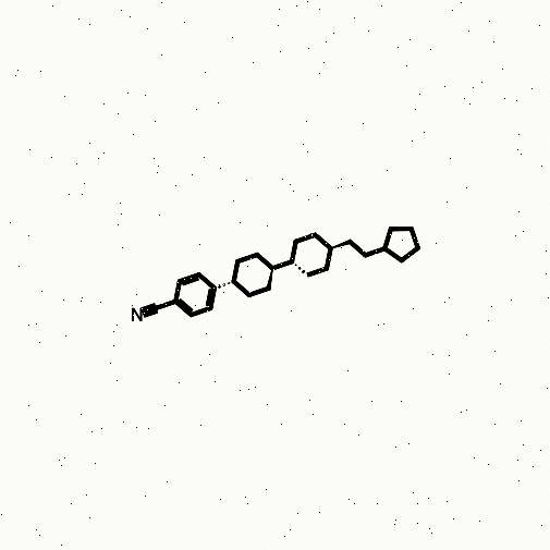 N#Cc1ccc([C@H]2CC[C@H]([C@H]3CC[C@H](CCC4CCCC4)CC3)CC2)cc1